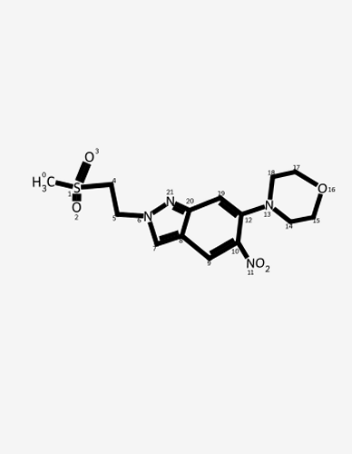 CS(=O)(=O)CCn1cc2cc([N+](=O)[O-])c(N3CCOCC3)cc2n1